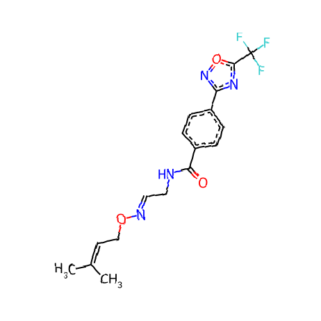 CC(C)=CCON=CCNC(=O)c1ccc(-c2noc(C(F)(F)F)n2)cc1